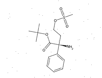 CC(C)(C)OC(=O)[C@](N)(CCOS(C)(=O)=O)c1ccccc1